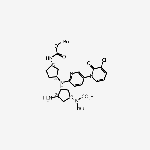 CC(C)(C)N(C(=O)O)[C@H]1CC[C@H](N)C1.CC(C)(C)OC(=O)N[C@H]1CC[C@H](Nc2ccc(-n3cccc(Cl)c3=O)cn2)C1